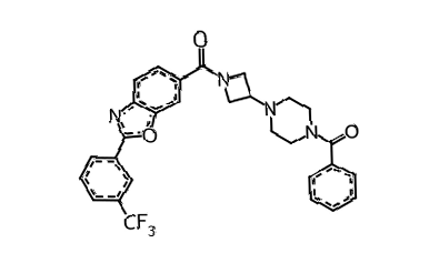 O=C(c1ccccc1)N1CCN(C2CN(C(=O)c3ccc4nc(-c5cccc(C(F)(F)F)c5)oc4c3)C2)CC1